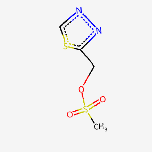 CS(=O)(=O)OCc1nncs1